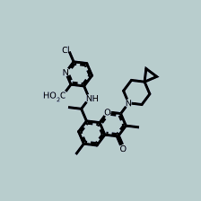 Cc1cc(C(C)Nc2ccc(Cl)nc2C(=O)O)c2oc(N3CCC4(CC3)CC4)c(C)c(=O)c2c1